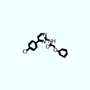 O=C(COc1ccccc1)Nc1nccc(-c2ccc(Cl)cc2)n1